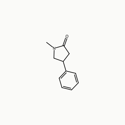 CN1CC(c2ccccc2)CC1=O